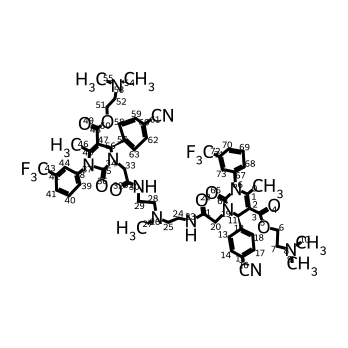 CC1=C(C(=O)OCCN(C)C)[C@@H](c2ccc(C#N)cc2)N(CC(=O)NCCN(C)CCNC(=O)CN2C(=O)N(c3cccc(C(F)(F)F)c3)C(C)=C(C(=O)OCCN(C)C)[C@H]2c2ccc(C#N)cc2)C(=O)N1c1cccc(C(F)(F)F)c1